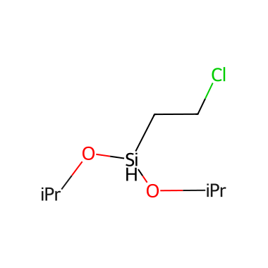 CC(C)O[SiH](CCCl)OC(C)C